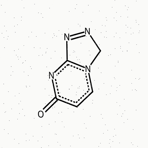 O=c1ccn2c(n1)N=NC2